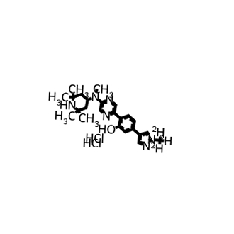 Cl.Cl.[2H]C([2H])([2H])n1cc(-c2ccc(-c3cnc(N(C)C4CC(C)(C)NC(C)(C)C4)cn3)c(O)c2)cn1